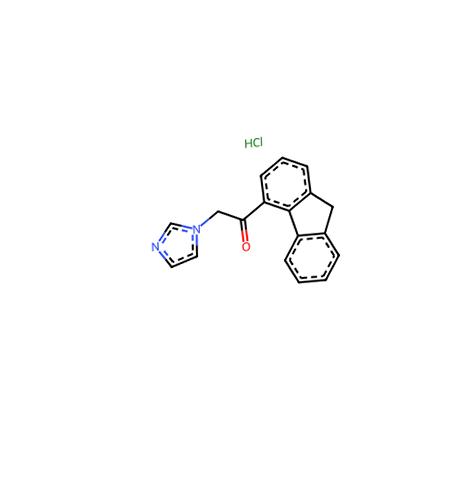 Cl.O=C(Cn1ccnc1)c1cccc2c1-c1ccccc1C2